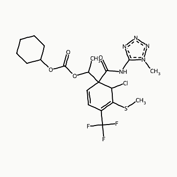 CSC1=C(C(F)(F)F)C=CC(C(=O)Nc2nnnn2C)(C(C)OC(=O)OC2CCCCC2)C1Cl